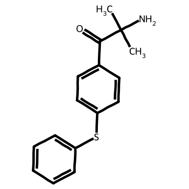 CC(C)(N)C(=O)c1ccc(Sc2ccccc2)cc1